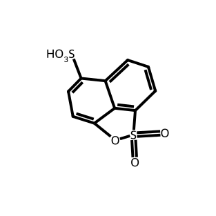 O=S(=O)(O)c1ccc2c3c(cccc13)S(=O)(=O)O2